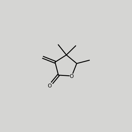 C=C1C(=O)OC(C)C1(C)C